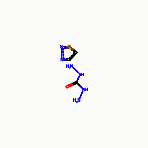 NNC(=O)NN.c1csnn1